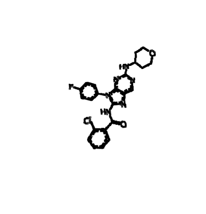 O=C(Nc1nc2cnc(NC3CCOCC3)nc2n1-c1ccc(F)cc1)c1ccccc1Cl